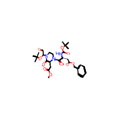 COC(=O)CC1C(=O)N(C(C=O)OC(C)(C)C)CCN1C(=O)[C@H](CC(=O)OCc1ccccc1)NC(=O)OC(C)(C)C